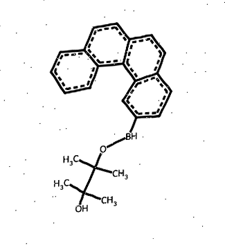 CC(C)(O)C(C)(C)OBc1ccc2ccc3ccc4ccccc4c3c2c1